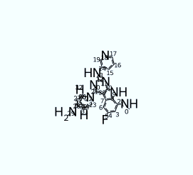 CNc1cc(F)cc2c1[nH]c1nc(Nc3cccnc3)nc(N3C[C@H]4C[C@@H]3C[C@H]4N)c12